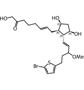 COC(C=C[C@@H]1[C@@H](CC=CCCCC(=O)CO)[C@@H](O)C[C@H]1O)CCc1ccc(Br)s1